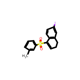 Cc1cccc(S(=O)(=O)C2=CCCc3cc(I)ccc32)c1